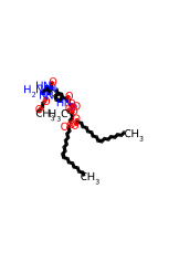 CCCCCCCC/C=C\CCCCCCCC(=O)OCC(COP(=O)(OCC)ONC(=O)c1cccc(Cn2c(=O)[nH]c3c(N)nc(OCCOC)nc32)c1)OC(=O)CCCCCCC/C=C\CCCCCCCC